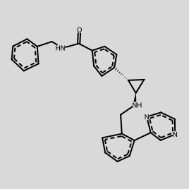 O=C(NCc1ccccc1)c1ccc([C@@H]2C[C@H]2NCc2ccccc2-c2cnccn2)cc1